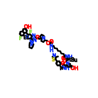 CCc1c(F)ccc2cc(O)cc(-c3ncc4c(N5CC6CCC(C5)N6)nc(OCC56CCCN5C(COC(=O)NCCCCCCCC(=O)N[C@H](C(=O)N5C[C@H](O)C[C@H]5C(=O)N[C@@H](C)c5ccc(-c7scnc7C)cc5)C(C)(C)C)CC6)nc4c3F)c12